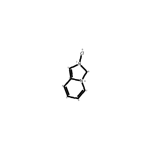 ClN1C=C2C=CC=CN2C1